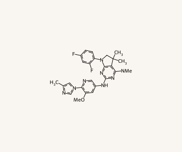 CNc1nc(Nc2cnc(-n3cnc(C)c3)c(OC)c2)nc2c1C(C)(C)CN2c1ccc(F)cc1F